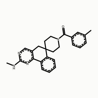 CNc1ncc2c(n1)-c1ccccc1C1(CCN(C(=O)c3cccc(C)c3)CC1)C2